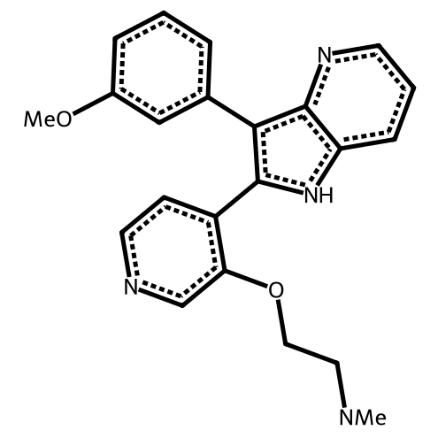 CNCCOc1cnccc1-c1[nH]c2cccnc2c1-c1cccc(OC)c1